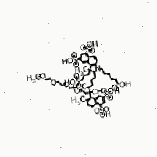 C=C(/C=C/C=C1/N(CCCCCC(=O)O)c2ccc3c(S(=O)(=O)O)cc(S(=O)(=O)O)cc3c2C1(C)CCCS(=O)(=O)O)C(C)(CCOCCOCCOCCOC)c1c(C)ccc2c(S(=O)(=O)O)cc(S(=O)(=O)O)cc12